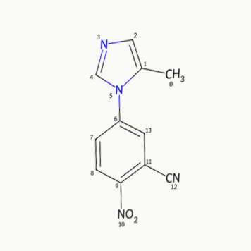 Cc1cncn1-c1ccc([N+](=O)[O-])c(C#N)c1